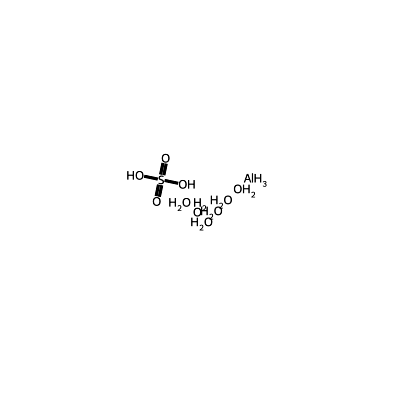 O.O.O.O.O.O.O=S(=O)(O)O.[AlH3]